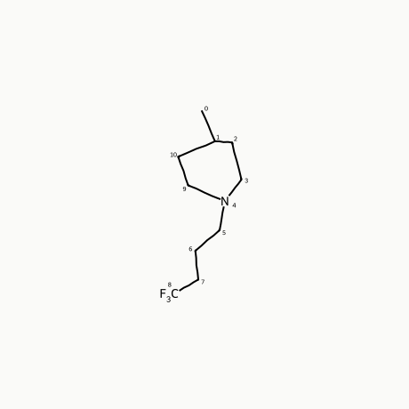 CC1CCN(CCCC(F)(F)F)CC1